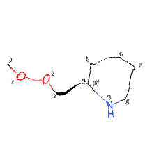 COOC[C@H]1CCCCN1